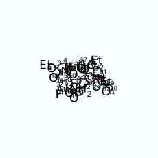 CCOc1ccc(CC)cc1C(=O)c1cc(F)c(OP(N)(=O)Oc2cc(-c3nnc(-c4ccco4)o3)c(C(=O)c3cc(CC)ccc3OCC)cc2F)cc1-c1nnc(-c2ccco2)o1